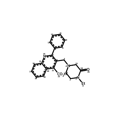 CCN1CCN(Cc2c(-c3ccccc3)nc3ccccc3c2C(=O)O)CC1=O